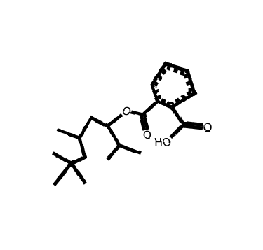 CC(CC(OC(=O)c1ccccc1C(=O)O)C(C)C)CC(C)(C)C